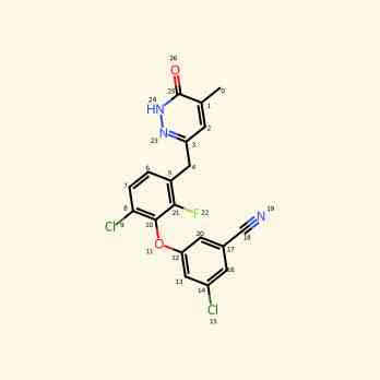 Cc1cc(Cc2ccc(Cl)c(Oc3cc(Cl)cc(C#N)c3)c2F)n[nH]c1=O